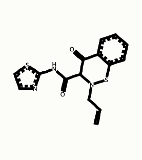 C=CCN1Sc2ccccc2C(=O)C1C(=O)Nc1nccs1